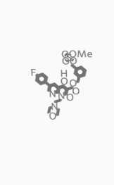 COS(=O)(=O)OCc1cccc(COC(=O)c2c(O)c3cc(-c4ccc(F)cc4)cnc3n(CCN3CCOCC3)c2=O)c1